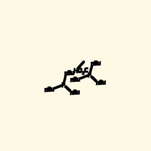 CC(=O)O.CCCCP(CCCC)CCCC.CCCCP(CCCC)CCCC